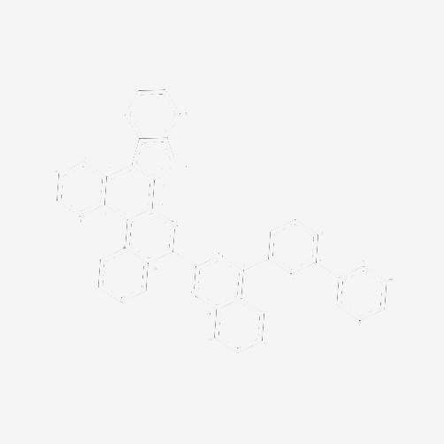 c1ccc(-c2cccc(-c3nc(-c4nc5c6sc7ccccc7c6c6ccccc6c5c5ccccc45)nc4ccccc34)c2)cc1